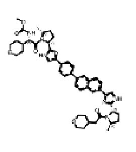 COC(=O)N[C@H](C(=O)N1[C@H](C)CC[C@H]1c1nc(-c2ccc(-c3ccc4cc(-c5c[nH]c([C@@H]6CC[C@@H](C)N6C(=O)CC6CCOCC6)n5)ccc4c3)cc2)c[nH]1)C1CCOCC1